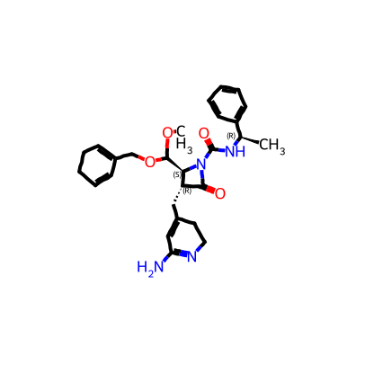 COC(OCC1=CCCC=C1)[C@@H]1[C@@H](CC2=CC(N)=NCC2)C(=O)N1C(=O)N[C@H](C)c1ccccc1